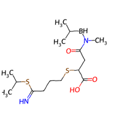 CC(C)BN(C)C(=O)CC(SCCCC(=N)SC(C)C)C(=O)O